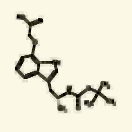 C[C@H](Cc1c[nH]c2c(OCC(=O)O)cccc12)NC(=O)OC(C)(C)C